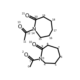 CC(=O)N1CCCCCC1=O.CC(=O)N1CCCCCC1=O